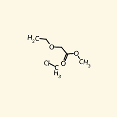 CCOCC(=O)OC.CCl